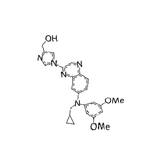 COc1cc(OC)cc(N(CC2CC2)c2ccc3ncc(-n4cnc(CO)c4)nc3c2)c1